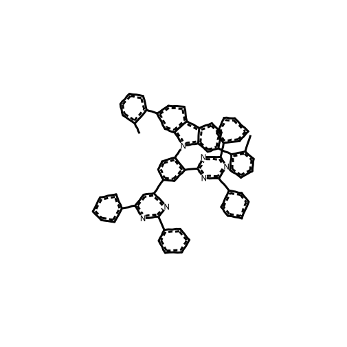 Cc1ccccc1-c1ccc2c3ccc(-c4ccccc4C)cc3n(-c3ccc(-c4cc(-c5ccccc5)nc(-c5ccccc5)n4)cc3-c3nc(-c4ccccc4)nc(-c4ccccc4)n3)c2c1